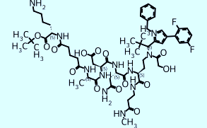 CNC(=O)CCNC(=O)[C@H](CCN(C(=O)CO)[C@@H](c1cc(-c2cc(F)ccc2F)cn1Cc1ccccc1)C(C)(C)C)NC(=O)[C@H](CC(N)=O)NC(=O)[C@H](CC(=O)O)NC(=O)[C@H](C)NC(=O)CCCC(=O)N[C@@H](CCCCN)C(=O)OC(C)(C)C